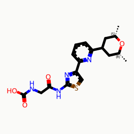 C[C@@H]1CC(c2cccc(-c3csc(NC(=O)CNC(=O)O)n3)n2)C[C@H](C)O1